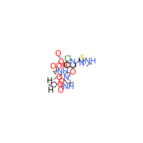 CC[C@@H]1C[C@]1(NC(=O)[C@@H]1C[C@@H](Oc2cc(-c3csc(NC(C)C)n3)nc3c(Cl)c(OCCOC)ccc23)CN1C(=O)[C@@H](NC(=O)O[C@@H]1C[C@@H]2C[C@@H]2C1)C(C)(C)C)C(=O)O